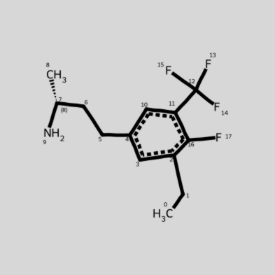 CCc1cc(CC[C@@H](C)N)cc(C(F)(F)F)c1F